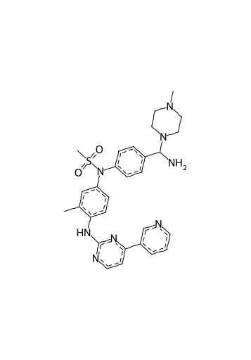 Cc1cc(N(c2ccc(C(N)N3CCN(C)CC3)cc2)S(C)(=O)=O)ccc1Nc1nccc(-c2cccnc2)n1